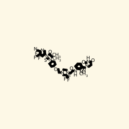 Cn1nc(N2CCC(=O)NC2=O)c2cccc(NC(=O)CN3CCN(CCO[C@H]4CC[C@H](N5C(=S)N(c6cnc(C#N)c(C(F)(F)F)c6)C(=O)C5(C)C)CC4)CC3C(F)(F)F)c21